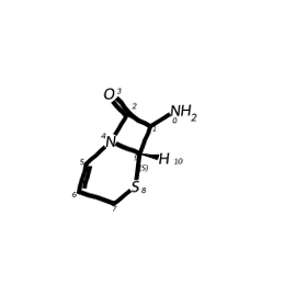 NC1C(=O)N2C=CCS[C@@H]12